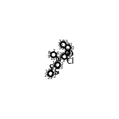 Clc1cc(N(c2ccccc2)c2ccc3c(c2)Sc2ccccc2S3)cc2c1oc1ccc3ccccc3c12